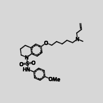 C=CCN(C)CCCCCOc1ccc2c(c1)CCCN2S(=O)(=O)Nc1ccc(OC)cc1